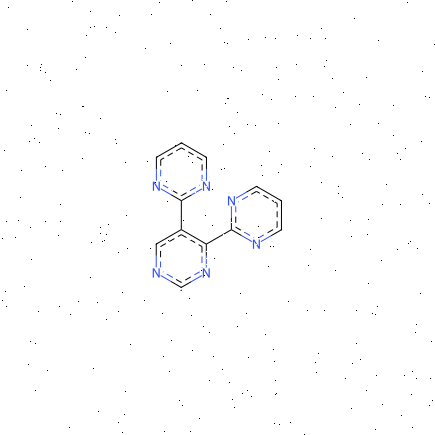 [c]1ncc(-c2ncccn2)c(-c2ncccn2)n1